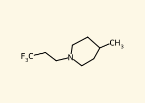 CC1CCN(CCC(F)(F)F)CC1